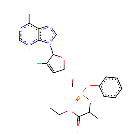 CCOC(=O)C(C)N[P@](=O)(CO[C@@H]1C=C(F)C(n2cnc3c(N)ncnc32)O1)Oc1ccccc1